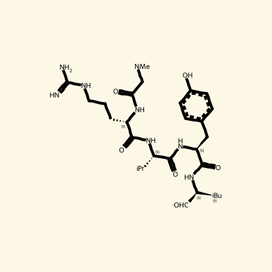 CC[C@H](C)[C@@H]([C]=O)NC(=O)[C@H](Cc1ccc(O)cc1)NC(=O)[C@@H](NC(=O)[C@H](CCCNC(=N)N)NC(=O)CNC)C(C)C